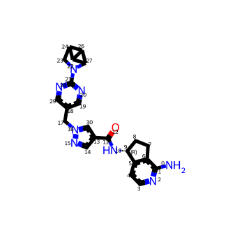 Nc1nccc2c1CC[C@H]2NC(=O)c1cnn(Cc2cnc(N3CC4C5C4C53)nc2)c1